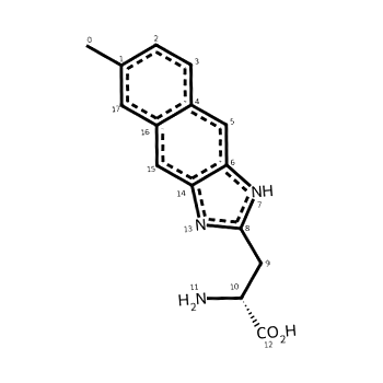 Cc1ccc2cc3[nH]c(C[C@@H](N)C(=O)O)nc3cc2c1